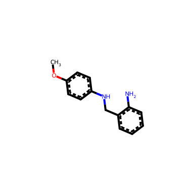 COc1ccc(NCc2ccccc2N)cc1